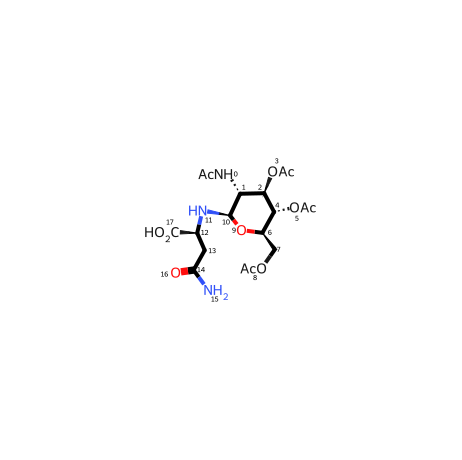 CC(=O)N[C@@H]1[C@@H](OC(C)=O)[C@H](OC(C)=O)[C@@H](COC(C)=O)O[C@H]1N[C@@H](CC(N)=O)C(=O)O